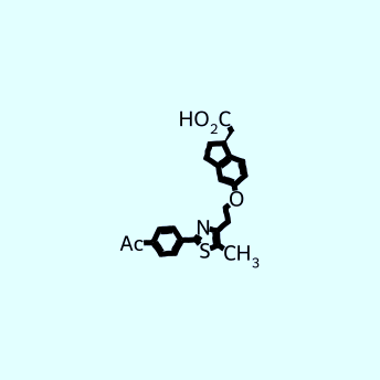 CC(=O)c1ccc(-c2nc(CCOc3ccc4c(c3)CC[C@H]4CC(=O)O)c(C)s2)cc1